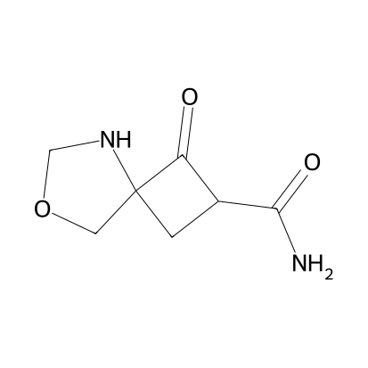 NC(=O)C1CC2(COCN2)C1=O